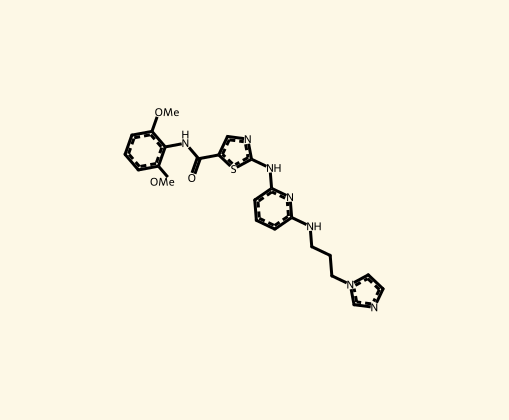 COc1cccc(OC)c1NC(=O)c1cnc(Nc2cccc(NCCCn3ccnc3)n2)s1